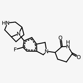 O=C1CCC(N2Cc3cc(F)c(N4C5CCC4CNC5)cc3C2)C(=O)N1